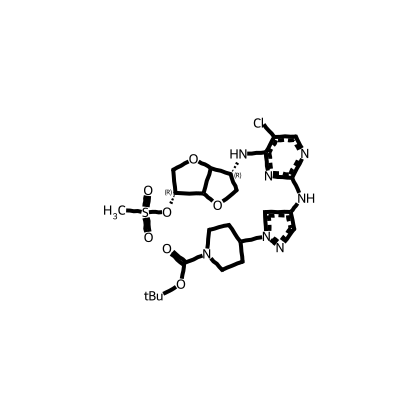 CC(C)(C)OC(=O)N1CCC(n2cc(Nc3ncc(Cl)c(N[C@@H]4COC5C4OC[C@H]5OS(C)(=O)=O)n3)cn2)CC1